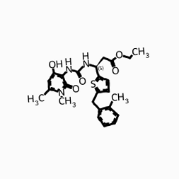 CCOC(=O)C[C@H](NC(=O)Nc1c(O)cc(C)n(C)c1=O)c1ccc(Cc2ccccc2C)s1